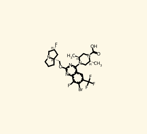 C[C@@H]1CN(c2nc(OC[C@]34CCCN3C[C@H](F)C4)nc3c(F)c(Br)c(C(F)(F)F)cc23)[C@@H](C)CN1C(=O)O